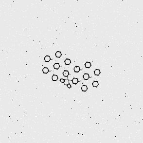 c1ccc(N(c2ccccc2)c2cc(N(c3ccccc3)c3ccccc3)cc(N(c3ccccc3)c3ccc4c(c3)Oc3cc(N(c5ccccc5)c5cc(N(c6ccccc6)c6ccccc6)cc(N(c6ccccc6)c6ccccc6)c5)ccc3C43c4ccccc4-c4ccccc43)c2)cc1